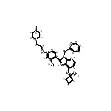 CC1(Oc2ccnc3c2nc(-c2ccc(OCCN4CCNCC4)cc2Cl)n3Cc2ccccn2)CCC1